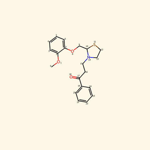 COc1ccccc1OCC1SCCN1CCC(=O)c1ccccc1